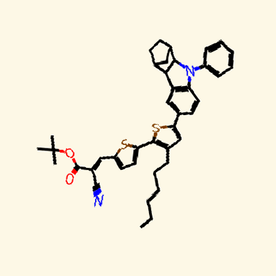 CCCCCCc1cc(-c2ccc3c(c2)C2C4CCC(C4)C2N3c2ccccc2)sc1-c1ccc(/C=C(\C#N)C(=O)OC(C)(C)C)s1